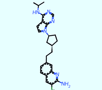 CC(C)Nc1ncnc2c1ccn2[C@H]1CC[C@@H](CCc2ccc3cc(Cl)c(N)nc3c2)C1